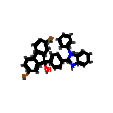 OC1(c2ccc(-c3nc4ccccc4n3-c3ccccc3)cc2)c2cc(Br)ccc2-c2ccc(Br)cc21